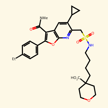 CCc1ccc(-c2oc3nc(CS(=O)(=O)NCCCCC4(C(=O)O)CCOCC4)c(C4CC4)cc3c2C(=O)NC)cc1